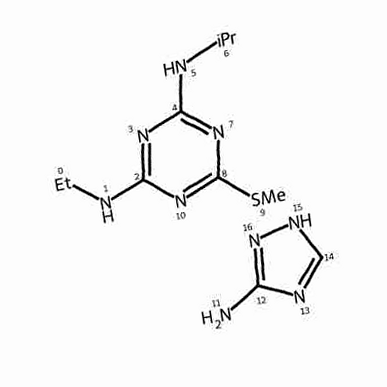 CCNc1nc(NC(C)C)nc(SC)n1.Nc1nc[nH]n1